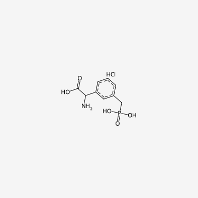 Cl.NC(C(=O)O)c1cccc(CP(=O)(O)O)c1